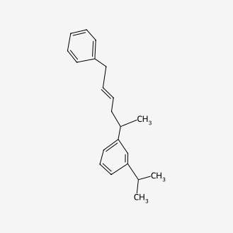 CC(C)c1cccc(C(C)CC=CCc2ccccc2)c1